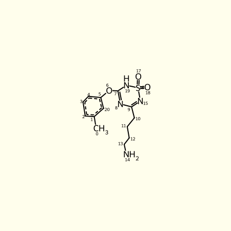 Cc1cccc(OC2=NC(CCCCN)=NS(=O)(=O)N2)c1